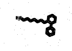 CCCCCCCCC1CCCC[C]1c1ccccc1